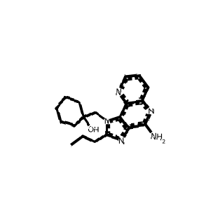 CCCc1nc2c(N)nc3cccnc3c2n1CC1(O)CCCCC1